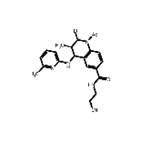 CCC1[C@H](C)C(Nc2cccc(C)n2)c2cc(C(=O)NCCC#N)ccc2N1C(C)=O